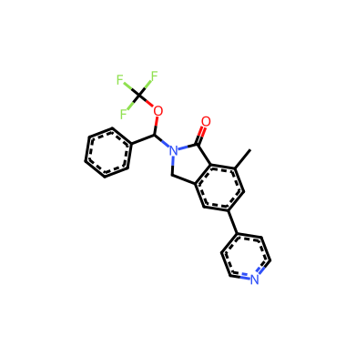 Cc1cc(-c2ccncc2)cc2c1C(=O)N(C(OC(F)(F)F)c1ccccc1)C2